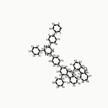 c1ccc(-c2ccc(-c3nc(-c4ccccc4)nc(-c4ccc(-c5cc(-c6ccccc6)c6c7ccccc7n(-c7cccc8oc9ccccc9c78)c6c5)cc4)n3)cc2)cc1